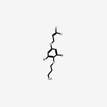 OCCCOc1c(Br)cc(OCC=C(Cl)Cl)cc1Br